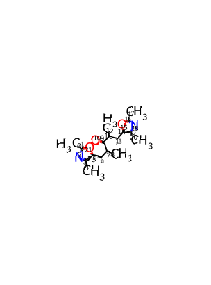 Cc1nc(C)c(CC(C)C(=O)C(C)Cc2oc(C)nc2C)o1